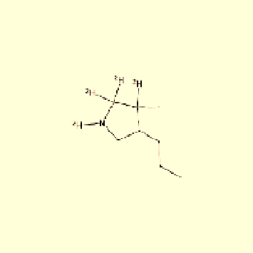 [2H]N1CC(CCC)C([2H])(C)C1([2H])[2H]